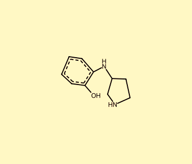 Oc1ccccc1NC1CCNC1